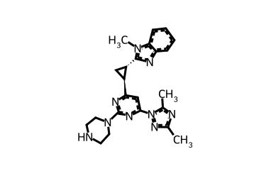 Cc1nc(C)n(-c2cc([C@H]3C[C@@H]3c3nc4ccccc4n3C)nc(N3CCNCC3)n2)n1